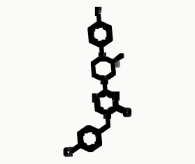 C[C@H]1CN(c2ncn(Cc3ccc(Cl)cc3)c(=O)n2)CCN1c1ccc(F)cc1